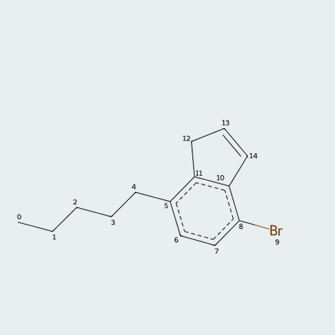 CCCCCc1ccc(Br)c2c1CC=C2